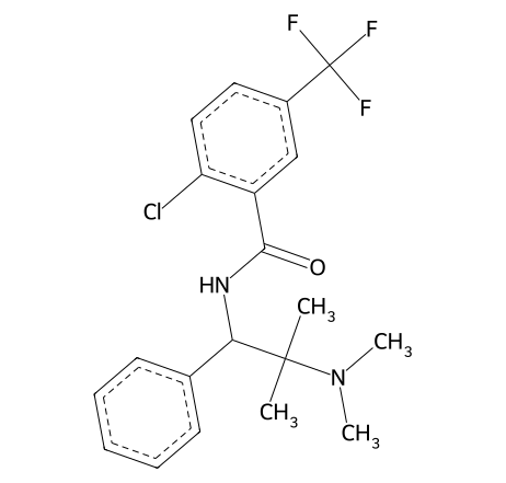 CN(C)C(C)(C)C(NC(=O)c1cc(C(F)(F)F)ccc1Cl)c1ccccc1